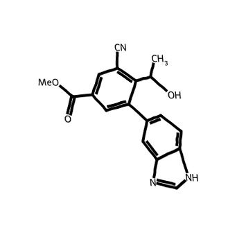 COC(=O)c1cc(C#N)c(C(C)O)c(-c2ccc3[nH]cnc3c2)c1